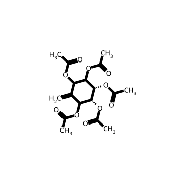 C=C1C(OC(C)=O)C(OC(C)=O)[C@H](OC(C)=O)[C@H](OC(C)=O)C1OC(C)=O